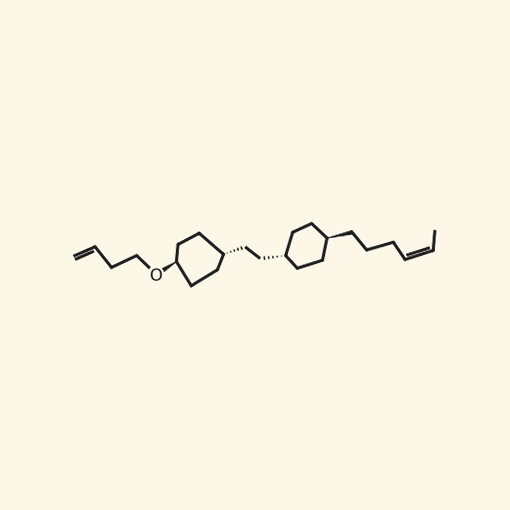 C=CCCO[C@H]1CC[C@H](CC[C@H]2CC[C@H](CCC/C=C\C)CC2)CC1